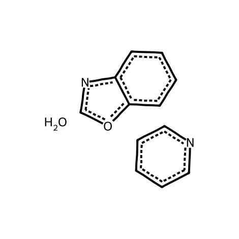 O.c1ccc2ocnc2c1.c1ccncc1